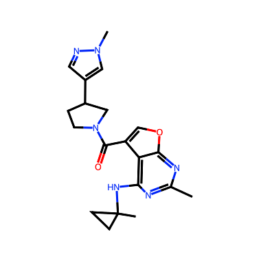 Cc1nc(NC2(C)CC2)c2c(C(=O)N3CCC(c4cnn(C)c4)C3)coc2n1